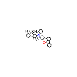 CC1(C)c2ccccc2-c2ccc(N(c3ccccc3)C3(C)C=CC(c4cccc5c4C(=O)c4ccccc4-5)=CC3)cc21